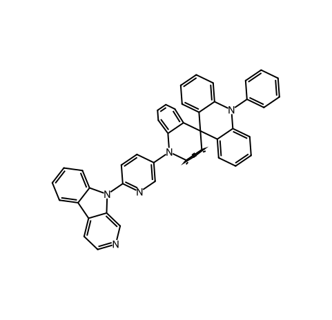 c1ccc(N2c3ccccc3C3(c4ccccc42)c2ccccc2N(c2ccc(-n4c5ccccc5c5ccncc54)nc2)c2ccccc23)cc1